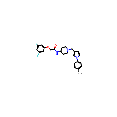 O=C(COc1cc(F)cc(F)c1)NC1CCN(Cc2ccn(-c3ccc(C(F)(F)F)cc3)c2)CC1